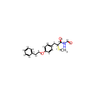 CSC(Cc1ccc(OCCc2ccccc2)cc1)C(=O)NC=O